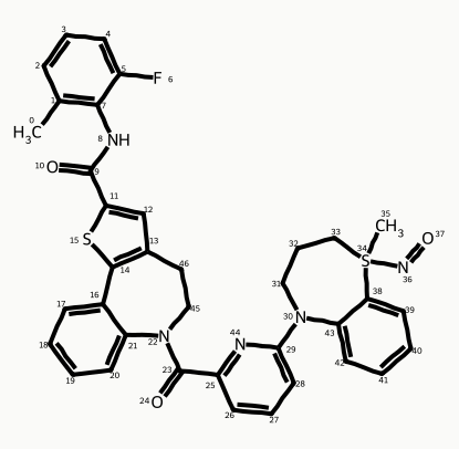 Cc1cccc(F)c1NC(=O)c1cc2c(s1)-c1ccccc1N(C(=O)c1cccc(N3CCCS(C)(N=O)c4ccccc43)n1)CC2